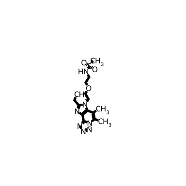 CCc1nc2c(c(C)c(C)n3nnnc23)n1CCOCCNS(C)(=O)=O